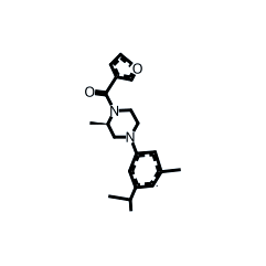 Cc1[c]c(C(C)C)cc(N2CCN(C(=O)c3ccoc3)[C@H](C)C2)c1